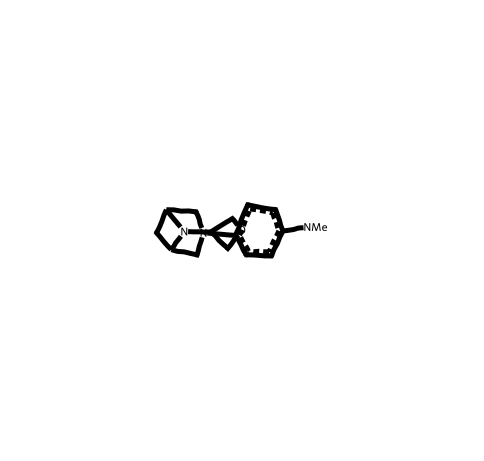 CNc1ccc(N2CC3CC(C2)N3C2COC2)cc1